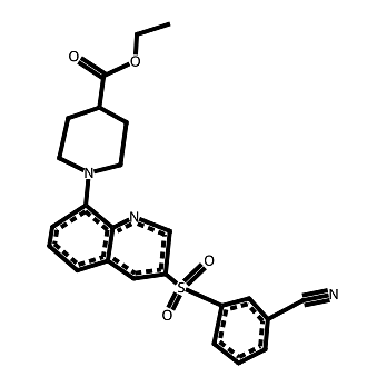 CCOC(=O)C1CCN(c2cccc3cc(S(=O)(=O)c4cccc(C#N)c4)cnc23)CC1